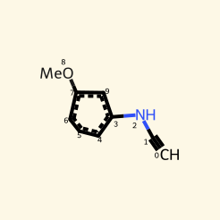 C#CNc1cccc(OC)c1